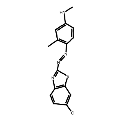 CNc1ccc(N=Nc2nc3ccc(Cl)cc3s2)c(C)c1